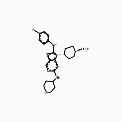 O=C(O)[C@H]1CC[C@H](n2c(Nc3ccc(F)cc3)nc3cnc(NC4CCOCC4)nc32)CC1